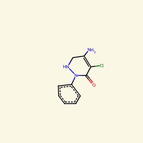 NC1=C(Cl)C(=O)N(c2ccccc2)NC1